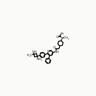 CC(C)C(=O)N(C)C1CCC(CC(=O)Nc2cnc(-c3ccc(C4(N)CC(C)(O)C4)cc3)c(-c3ccccc3)c2)CC1